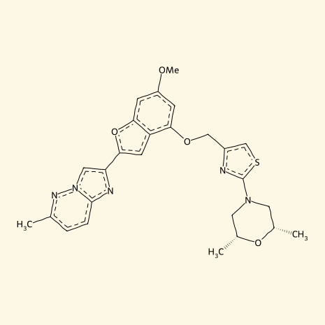 COc1cc(OCc2csc(N3C[C@@H](C)O[C@@H](C)C3)n2)c2cc(-c3cn4nc(C)ccc4n3)oc2c1